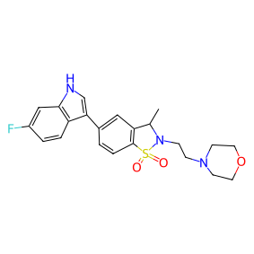 CC1c2cc(-c3c[nH]c4cc(F)ccc34)ccc2S(=O)(=O)N1CCN1CCOCC1